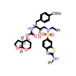 COc1ccc(C[C@H](NC(=O)O[C@H]2CCO[C@H]3OCC[C@H]32)[C@H](O)CN(CC(C)C)S(=O)(=O)c2ccc3nc(NC(C)C)sc3c2)cc1